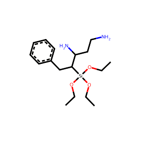 CCO[Si](OCC)(OCC)C(Cc1ccccc1)C(N)CCN